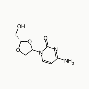 Nc1ccn(C2CO[C@H](CO)O2)c(=O)n1